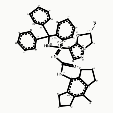 Cc1c2c(c(NC(=O)N=S(=O)(NC(c3ccccc3)(c3ccccc3)c3ccccc3)c3cnn4c3O[C@H](C)C4)c3c1CCC3)CCC2